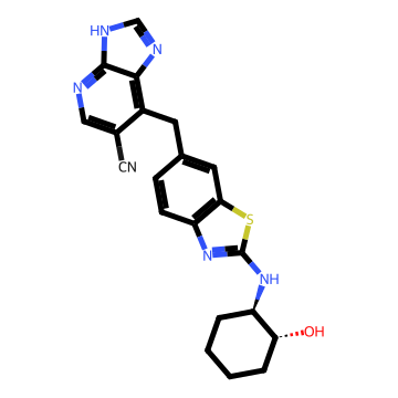 N#Cc1cnc2[nH]cnc2c1Cc1ccc2nc(N[C@@H]3CCCC[C@H]3O)sc2c1